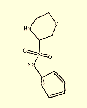 O=S(=O)(Nc1ccccc1)C1COCCN1